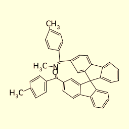 C/N=C(\c1ccc(C)cc1)c1ccc2c(c1)C1(c3ccccc3-c3ccc(C(=O)c4ccc(C)cc4)cc31)c1ccccc1-2